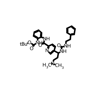 CN(C)CCC(NC(=O)NCCc1ccccc1)c1ccc(C(=O)Nc2ccccc2NC(=O)OC(C)(C)C)nc1